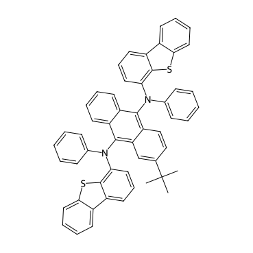 CC(C)(C)c1ccc2c(N(c3ccccc3)c3cccc4c3sc3ccccc34)c3ccccc3c(N(c3ccccc3)c3cccc4c3sc3ccccc34)c2c1